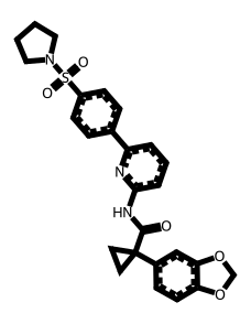 O=C(Nc1cccc(-c2ccc(S(=O)(=O)N3CCCC3)cc2)n1)C1(c2ccc3c(c2)OCO3)CC1